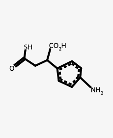 Nc1ccc(C(CC(=O)S)C(=O)O)cc1